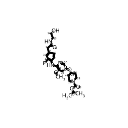 COC1=C(Nc2ccc(CC(=O)NCCO)cc2F)N=CN(OC2CCN(C(=O)OC(C)C)CC2)C1